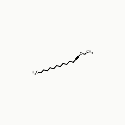 C[CH]OC#CCCCCCCCCCCCC